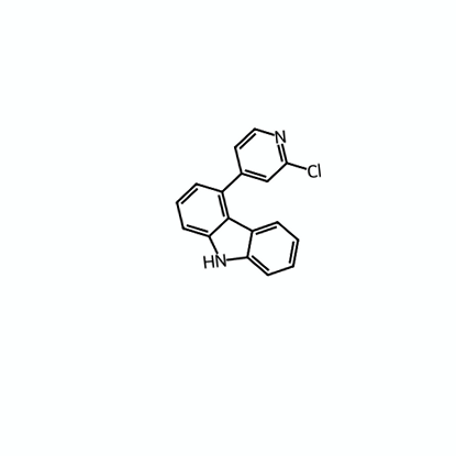 Clc1cc(-c2cccc3[nH]c4ccccc4c23)ccn1